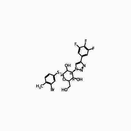 Cc1ccc(S[C@H]2OC(CO)[C@H](O)[C@H](n3cc(-c4cc(F)c(F)c(F)c4)nn3)C2O)cc1Br